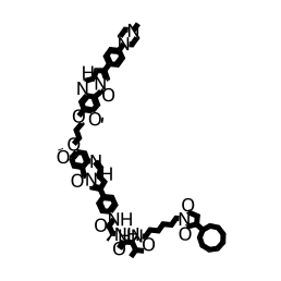 COc1cc2c(cc1OCCCOc1cc3c(cc1OC)C(=O)N1C=C(c4ccc(N5CCN(C)CC5)cc4)C[C@H]1C=N3)N=C[C@@H]1CC(c3ccc(NC(=O)[C@H](C)NC(=O)[C@@H](NC(=O)CCCCCN4C(=O)CC(C5CCCCCCCC5)C4=O)C(C)C)cc3)=CN1C2=O